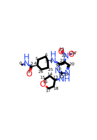 CNC(=O)[C@H]1CC[C@H](Nc2nc(NC3CCOCC3)ncc2[N+](=O)[O-])CC1